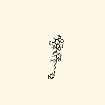 COc1c(Cl)c(NC(=O)c2csc3c(NCCCCCn4ccnc4)ncnc23)c(Cl)c(C)c1Br